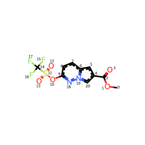 COC(=O)c1cc2ccc(OS(=O)(=O)C(F)(F)F)nn2c1